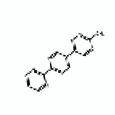 Cc1ncc(-c2ccc(-c3ncccn3)cc2)cn1